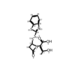 C/C(O)=C(/C(=O)O)N1C(=O)CC1SSc1nc2ccccc2s1